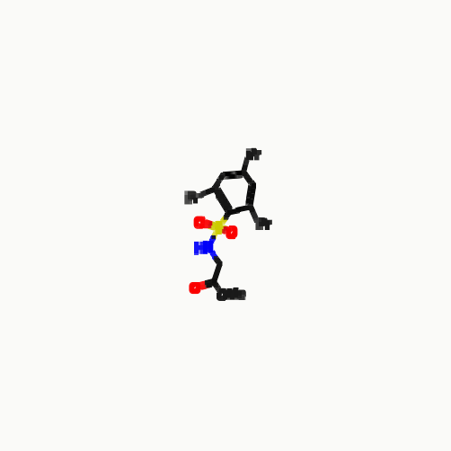 COC(=O)CNS(=O)(=O)c1c(C(C)C)cc(C(C)C)cc1C(C)C